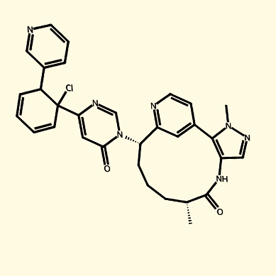 C[C@@H]1CCC[C@H](n2cnc(C3(Cl)C=CC=CC3c3cccnc3)cc2=O)c2cc(ccn2)-c2c(cnn2C)NC1=O